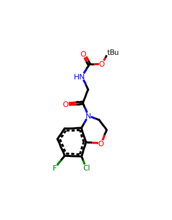 CC(C)(C)OC(=O)NCC(=O)N1CCOc2c1ccc(F)c2Cl